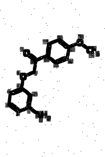 Nc1cccc(OCC(=O)c2ccc(OC(F)(F)F)cc2)c1